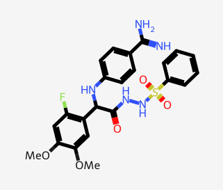 COc1cc(F)c(C(Nc2ccc(C(=N)N)cc2)C(=O)NNS(=O)(=O)c2ccccc2)cc1OC